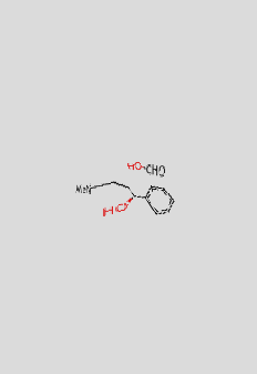 CNC[C@H](O)c1ccccc1.O=CO